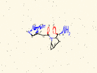 NC(=O)C1CC2CC2N1C(=O)Cc1cnn[nH]1